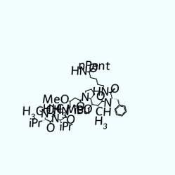 CCCCCNC(=O)CCCCNC(=O)[C@H](Cc1ccccc1)NC(=O)[C@H](C)[C@@H](OC)[C@@H]1CCCN1C(=O)C[C@@H](OC)[C@H](C(C)CC)N(C)C(=O)[C@@H](NC(=O)[C@H](C(C)C)N(C)C)C(C)C